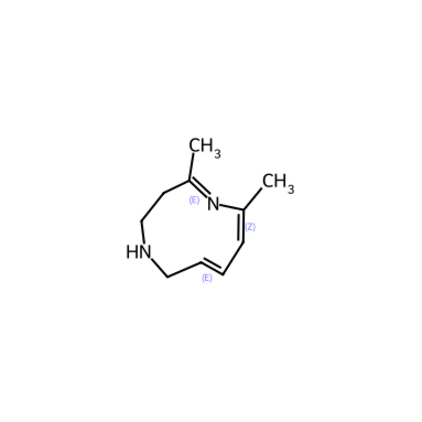 CC1=C/C=C/CNCC\C(C)=N\1